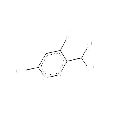 Cc1cc(Br)c(C(C)C)nn1